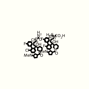 CNC1CCC(C(=O)N2CCCC(C(O)(CCCN(C)C(=O)O)c3cccc(F)c3-c3cc(C)cc(F)c3)C2)C1.CNC1CCC(C(=O)N2CCCC(C(O)(CCCOC(N)=O)c3cccc(Cl)c3-c3cc(C)cc(F)c3)C2)C1